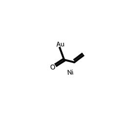 C=C[C](=O)[Au].[Ni]